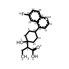 CCC(C(=O)O)C1(O)CCC(c2ccnc3ccc(F)cc23)CC1